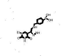 CCn1cc(/C(=C/NCc2ccc(B(O)O)cc2)N=N)c(=O)[nH]c1=O